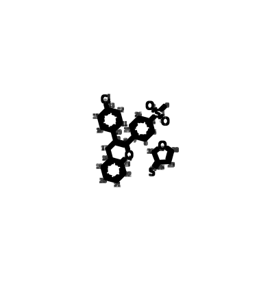 CS(=O)(=O)c1ccc(C2=C(c3ccc(Cl)cc3)Cc3ccccc3O2)cc1.S=C1C=COC1